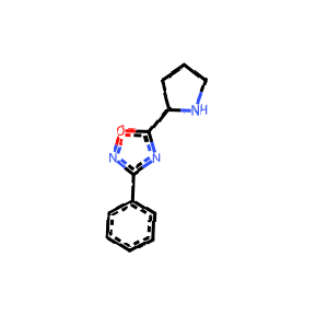 c1ccc(-c2noc(C3CCCN3)n2)cc1